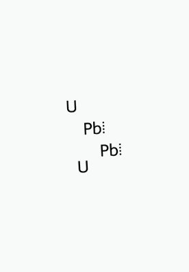 [Pb].[Pb].[U].[U]